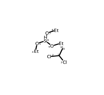 CC(Cl)Cl.CCO[SiH](OCC)OCC